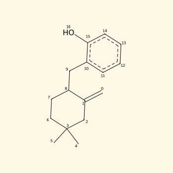 C=C1CC(C)(C)CCC1Cc1ccccc1O